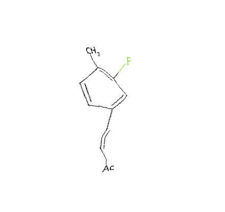 CC(=O)C=Cc1ccc(C)c(F)c1